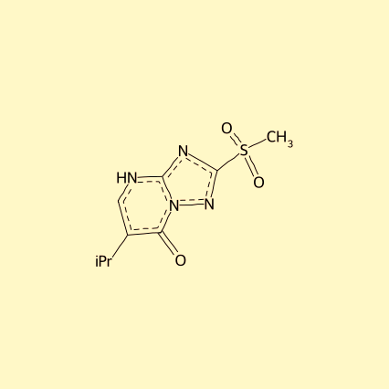 CC(C)c1c[nH]c2nc(S(C)(=O)=O)nn2c1=O